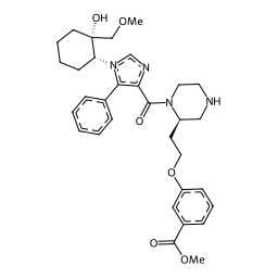 COC[C@]1(O)CCCC[C@H]1n1cnc(C(=O)N2CCNC[C@H]2CCOc2cccc(C(=O)OC)c2)c1-c1ccccc1